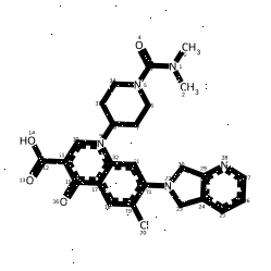 CN(C)C(=O)N1CCC(n2cc(C(=O)O)c(=O)c3cc(Cl)c(N4Cc5cccnc5C4)cc32)CC1